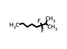 CCCCCC(F)(F)C(C)C